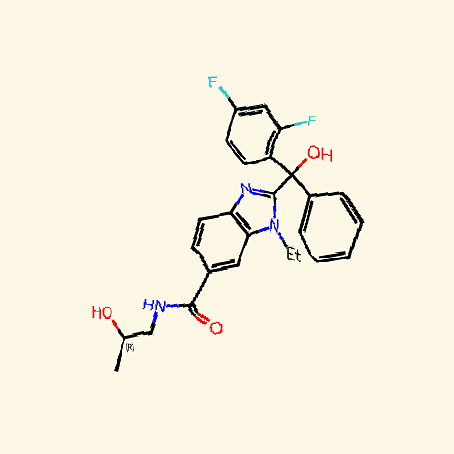 CCn1c(C(O)(c2ccccc2)c2ccc(F)cc2F)nc2ccc(C(=O)NC[C@@H](C)O)cc21